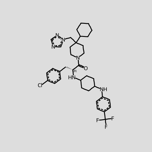 O=C([C@@H](Cc1ccc(Cl)cc1)NC1CCC(Nc2ccc(C(F)(F)F)cc2)CC1)N1CCC(Cn2cncn2)(C2CCCCC2)CC1